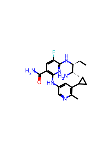 CC[C@@H](Nc1nc(Nc2cnc(C)c(C3CC3)c2)c(C(N)=O)cc1F)[C@H](C)N